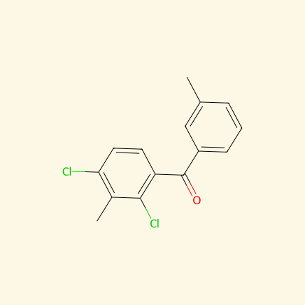 Cc1cccc(C(=O)c2ccc(Cl)c(C)c2Cl)c1